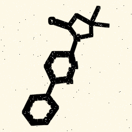 CC1(C)CC(=O)N(c2ccc(-c3ccccc3)nn2)C1